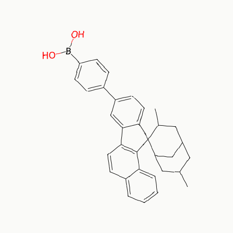 CC1CC2CC(C)C3(c4ccc(-c5ccc(B(O)O)cc5)cc4-c4ccc5ccccc5c43)C(C1)C2